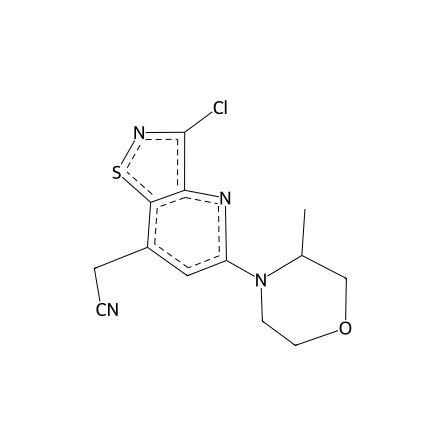 CC1COCCN1c1cc(CC#N)c2snc(Cl)c2n1